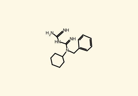 N=C(N)NC(=N)N(Cc1ccccc1)C1CCCCC1